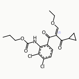 CCCOC(=O)Nc1c(C(=O)/C(=C\OCC)C(=O)C2CC2)ccc(Cl)c1Cl